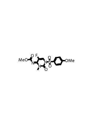 COC(=O)N=c1c(F)cn(S(=O)(=O)c2ccc(OC)cc2)c(=O)n1C